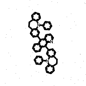 c1ccc(N2c3ccccc3CCc3ccc(-c4c5ccccc5c(-c5ccc6c(c5)N(c5ccccc5)c5ccccc5CC6)c5ncccc45)cc32)cc1